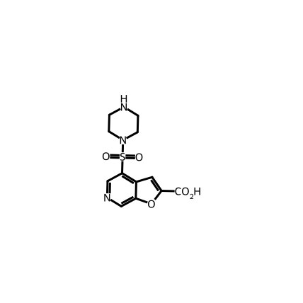 O=C(O)c1cc2c(S(=O)(=O)N3CCNCC3)cncc2o1